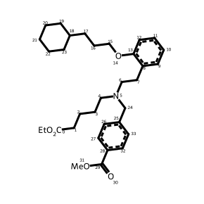 CCOC(=O)CCCCN(CCc1ccccc1OCCCC1CCCCC1)Cc1ccc(C(=O)OC)cc1